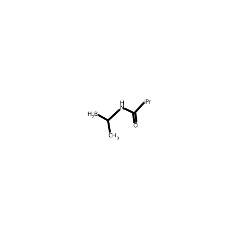 BC(C)NC(=O)C(C)C